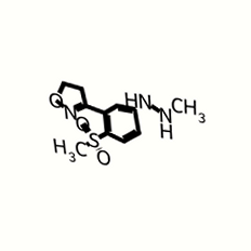 CNNc1ccc(S(C)(=O)=O)c(C2=NOCC2)c1